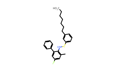 Cc1cc(F)cc(-c2ccccc2)c1NSc1cccc(CCCCCCC(=O)O)c1